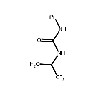 CC(C)NC(=O)NC(C)C(F)(F)F